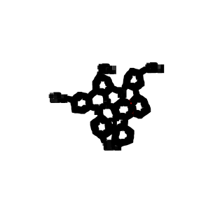 CC(C)(C)c1ccc(N2B3c4c(cc(C(C)(C)C)cc4N(c4ccc(C(C)(C)C)cc4-c4ccccc4)c4ccc5c(oc6ccccc65)c43)-c3cc(C(C)(C)C)ccc32)cc1